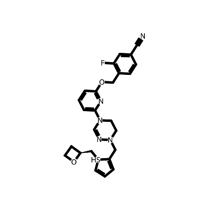 N#Cc1ccc(COc2cccc(N3C=NN(CC4=CC=C[SH]4C[C@@H]4CCO4)CC3)n2)c(F)c1